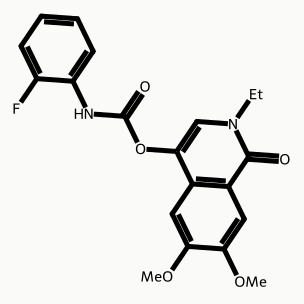 CCn1cc(OC(=O)Nc2ccccc2F)c2cc(OC)c(OC)cc2c1=O